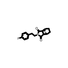 O=C1C2C3CCC(O3)C2C(=O)N1CCc1ccc(F)cc1